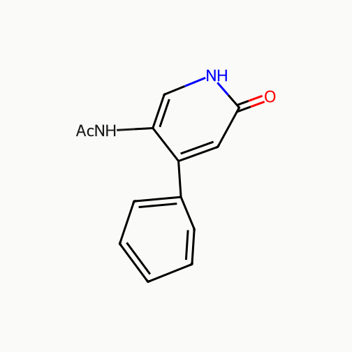 CC(=O)Nc1c[nH]c(=O)cc1-c1ccccc1